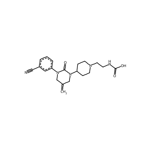 C=C1CN(c2cccc(C#N)c2)C(=O)N(C2CCN(CCNC(=O)O)CC2)C1